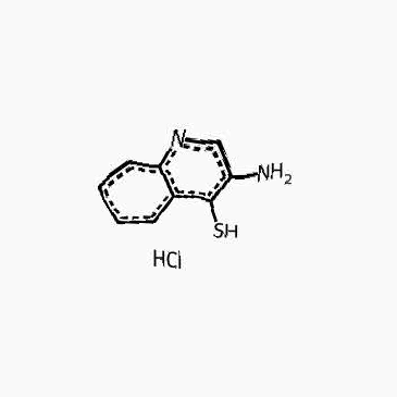 Cl.Nc1cnc2ccccc2c1S